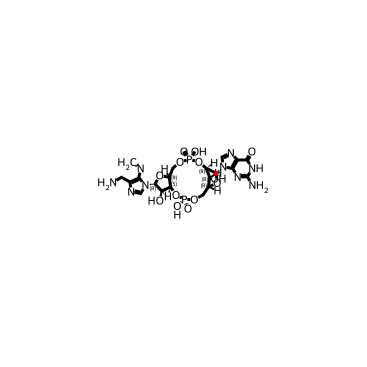 C=Nc1c(CN)ncn1[C@@H]1O[C@@H]2COP(=O)(O)O[C@@H]3[C@H](O)[C@@H](COP(=O)(O)O[C@H]2[C@H]1O)O[C@H]3n1cnc2c(=O)[nH]c(N)nc21